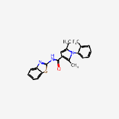 Cc1cc(C(=O)Nc2nc3ccccc3s2)c(C)n1-c1ccccc1C(F)(F)F